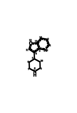 c1cnc2c(C3CCNCC3)coc2c1